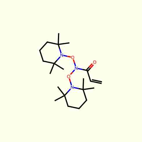 C=CC(=O)N(ON1C(C)(C)CCCC1(C)C)ON1C(C)(C)CCCC1(C)C